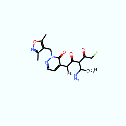 CCC(C(=O)C(C(=O)CF)C(N)C(=O)O)c1ccnn(Cc2c(C)noc2C)c1=O